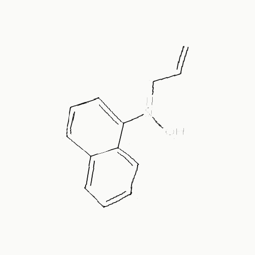 C=CC[SiH](O)c1cccc2ccccc12